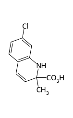 CC1(C(=O)O)C=Cc2ccc(Cl)cc2N1